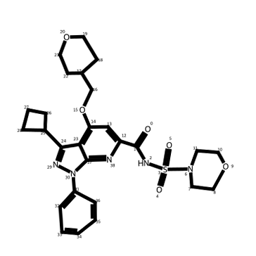 O=C(NS(=O)(=O)N1CCOCC1)c1cc(OCC2CCOCC2)c2c(C3CCC3)nn(-c3ccccc3)c2n1